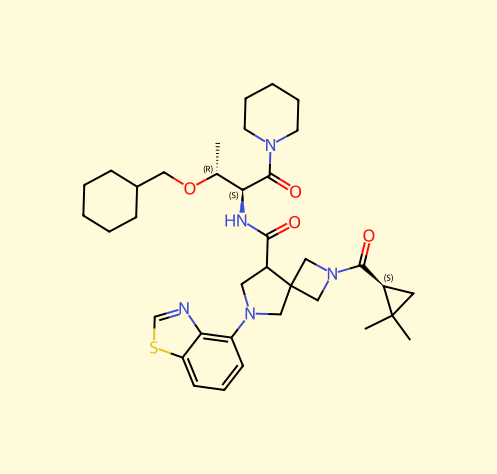 C[C@@H](OCC1CCCCC1)[C@H](NC(=O)C1CN(c2cccc3scnc23)CC12CN(C(=O)[C@H]1CC1(C)C)C2)C(=O)N1CCCCC1